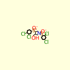 [O-][S+](c1ccc(Cl)c(Cl)c1)[C@H]1CN([S+]([O-])c2ccc(Cl)cc2Cl)CC1CO